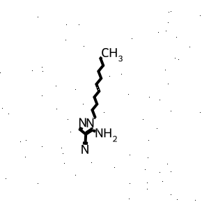 CCCCCCCCCCCn1ncc(C#N)c1N